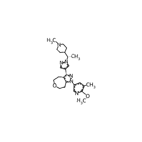 COc1ncc(-n2nc(-c3cnn([C@@H](C)C4CCN(C)CC4)c3)c3c2CCOCC3)cc1C